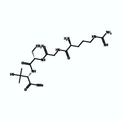 CNC(=O)[C@@H](NC(=O)[C@H](CC(=O)O)NC(=O)CNC(=O)[C@@H](N)CCCNC(=N)N)C(C)(C)S